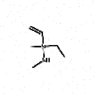 C=C[Si](C)(CC)NC